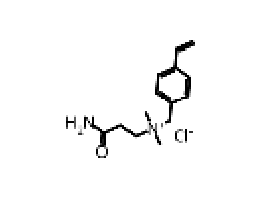 C=Cc1ccc(C[N+](C)(C)CCC(N)=O)cc1.[Cl-]